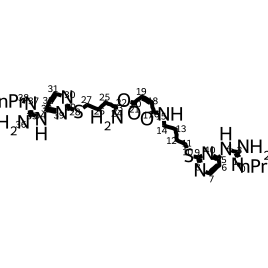 CCCN=C(N)Nc1ccnc(SCCCCNC(=O)/C=C\C(=O)OC(N)CCCSc2nccc(NC(N)=NCCC)n2)n1